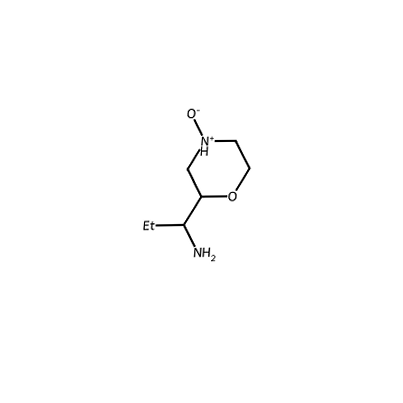 CCC(N)C1C[NH+]([O-])CCO1